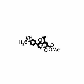 COC(=O)c1cc(C2CC2)c2c(C)c(-c3ccc(N(C)C)cc3)ccn2c1=O